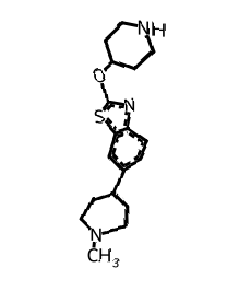 CN1CCC(c2ccc3nc(OC4CCNCC4)sc3c2)CC1